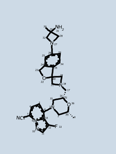 C[C@@H]1CN(c2ccc(C#N)n3ncc(F)c23)C[C@H](CN2CC3(C2)OCc2cc(N4CC(C)(N)C4)ccc23)O1